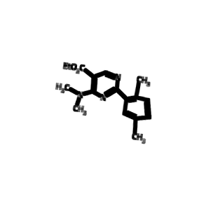 CCOC(=O)c1cnc(-c2cc(C)ccc2C)nc1N(C)C